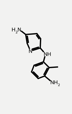 Cc1c(N)cccc1Nc1ccc(N)cn1